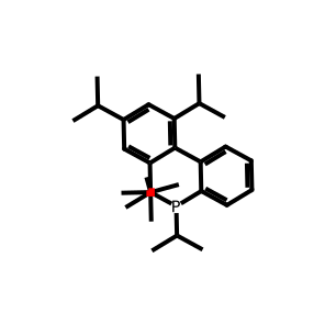 CC(C)c1cc(C(C)C)c(-c2ccccc2P(C(C)C)C(C)C)c(C(C)(C)C)c1